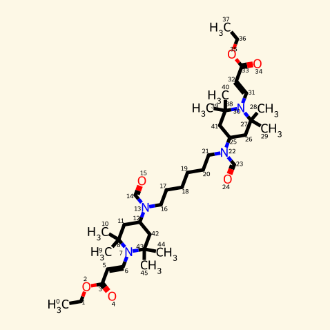 CCOC(=O)/C=C/N1C(C)(C)CC(N(C=O)CCCCCCN(C=O)C2CC(C)(C)N(/C=C/C(=O)OCC)C(C)(C)C2)CC1(C)C